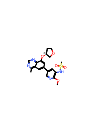 COc1ncc(-c2cc(O[C@H]3CCOC3)c3ncnc(C)c3c2)cc1NS(C)(=O)=O